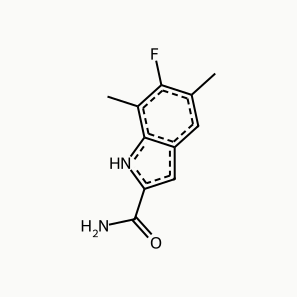 Cc1cc2cc(C(N)=O)[nH]c2c(C)c1F